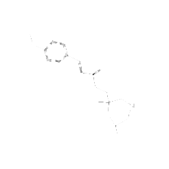 COc1ccc(/C=C/C(=O)CCC2(C)CNCC(C)O2)cc1.Cl